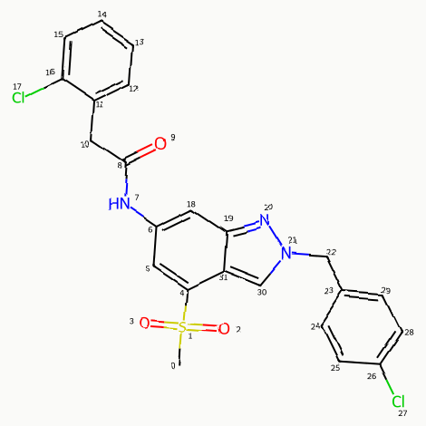 CS(=O)(=O)c1cc(NC(=O)Cc2ccccc2Cl)cc2nn(Cc3ccc(Cl)cc3)cc12